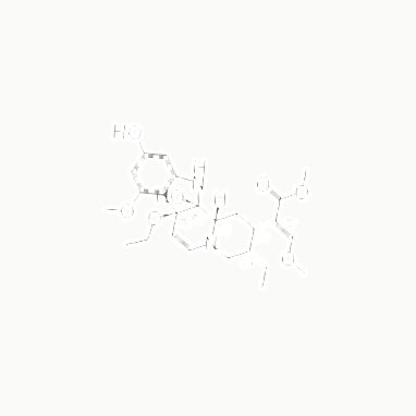 CCO[C@]12C=CN3C[C@@H](CC)[C@@H](/C(=C\OC)C(=O)OC)C[C@H]3[C@@]1(O)Nc1cc(O)cc(OC)c12